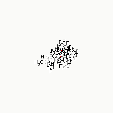 CCCC[NH+](CCCC)c1cccc(F)c1F.Fc1c(F)c2c(F)c(F)c3c(F)c(F)c([B-](c4c(F)c(F)c5c(F)c(F)c6c(F)c(F)c(F)c7c(F)c(F)c4c5c67)(c4c(F)c(F)c5c(F)c(F)c6c(F)c(F)c(F)c7c(F)c(F)c4c5c67)c4c(F)c(F)c5c(F)c(F)c6c(F)c(F)c(F)c7c(F)c(F)c4c5c67)c4c(F)c(F)c(c1F)c2c34